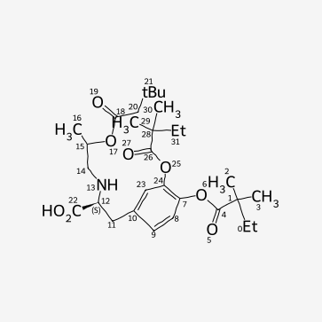 CCC(C)(C)C(=O)Oc1ccc(C[C@H](NCC(C)OC(=O)CC(C)(C)C)C(=O)O)cc1OC(=O)C(C)(C)CC